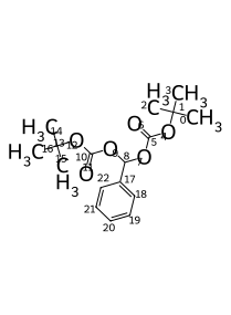 CC(C)(C)OC(=O)OC(OC(=O)OC(C)(C)C)c1ccccc1